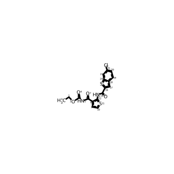 CCOC(=O)NC(=O)c1ccsc1NC(=O)c1cc2ccc(Cl)cc2s1